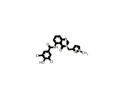 Cn1ccc(Cn2cnc3cccc(NC(=O)c4cc(Cl)c(O)c(Cl)c4)c3c2=O)n1